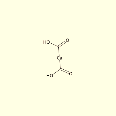 O=[C](O)[Ca][C](=O)O